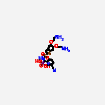 N#Cc1cccc(C(NS(=O)(=O)c2cc3cc(OCCN)c(OCCN)cc3s2)P(=O)(O)O)n1